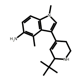 Cc1c(N)ccc2c1c(C1=CC(C(C)(C)C)NCC1)cn2C